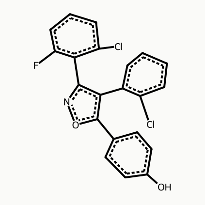 Oc1ccc(-c2onc(-c3c(F)cccc3Cl)c2-c2ccccc2Cl)cc1